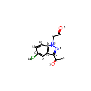 CC(=O)c1nn(CC=O)c2ccc(F)cc12